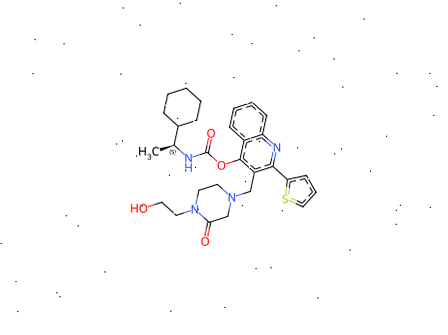 C[C@H](NC(=O)Oc1c(CN2CCN(CCO)C(=O)C2)c(-c2cccs2)nc2ccccc12)C1CCCCC1